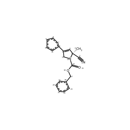 C[C@@]1(C#N)C=C(c2ccccc2)CN1C(=O)OCc1ccccc1